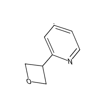 [c]1ccnc(C2COC2)c1